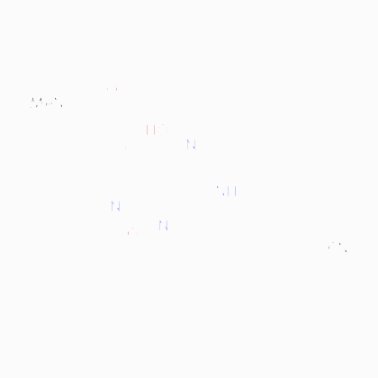 CNC(=O)CSc1nonc1/C(=N\O)NC1CCc2ccc(C#N)cc21